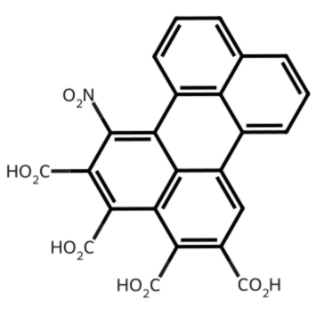 O=C(O)c1cc2c3cccc4cccc(c5c([N+](=O)[O-])c(C(=O)O)c(C(=O)O)c(c1C(=O)O)c25)c43